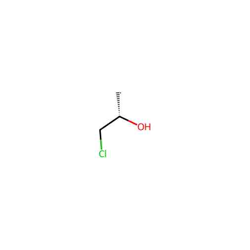 [CH2][C@H](O)CCl